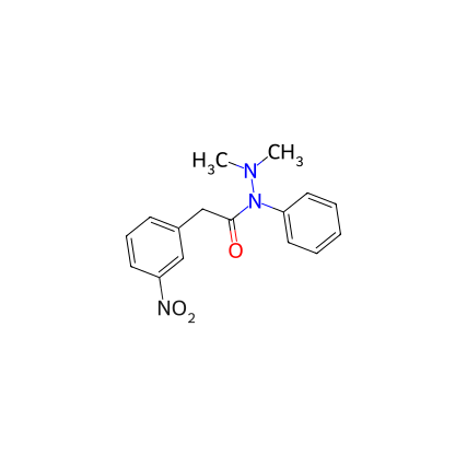 CN(C)N(C(=O)Cc1cccc([N+](=O)[O-])c1)c1ccccc1